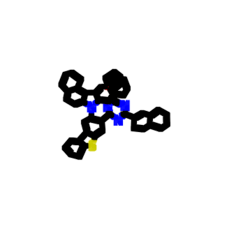 c1ccc(-c2nc(-c3ccc4ccccc4c3)nc(-c3cc4sc5ccccc5c4cc3-n3c4cc5ccccc5cc4c4c5ccccc5ccc43)n2)cc1